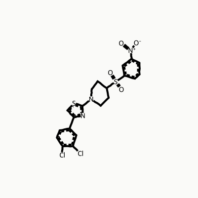 O=[N+]([O-])c1cccc(S(=O)(=O)C2CCN(c3nc(-c4ccc(Cl)c(Cl)c4)cs3)CC2)c1